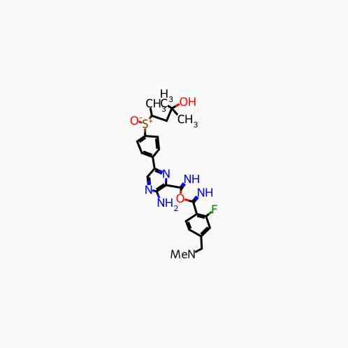 CNCc1ccc(C(=N)OC(=N)c2nc(-c3ccc([S+]([O-])C(C)CC(C)(C)O)cc3)cnc2N)c(F)c1